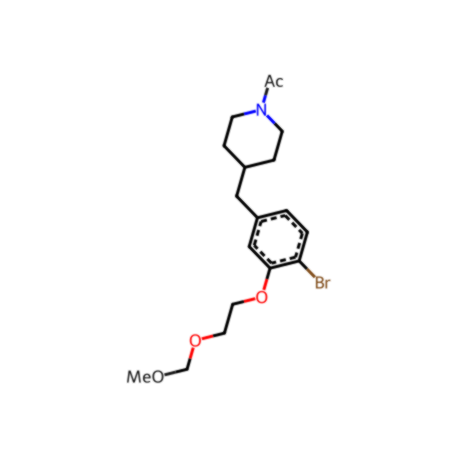 COCOCCOc1cc(CC2CCN(C(C)=O)CC2)ccc1Br